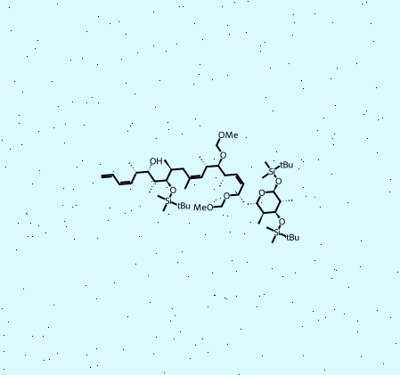 C=C/C=C\[C@H](C)[C@H](O)[C@@H](C)[C@H](O[Si](C)(C)C(C)(C)C)[C@@H](C)C/C(C)=C\[C@H](C)[C@@H](OCOC)[C@@H](C)/C=C\[C@H](C[C@@H]1O[C@@H](O[Si](C)(C)C(C)(C)C)[C@H](C)[C@@H](O[Si](C)(C)C(C)(C)C)[C@H]1C)OCOC